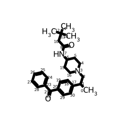 CC(CN1CCC(NC(=O)CC(C)(C)C)CC1)c1ccc(C(=O)c2ccccc2)cc1